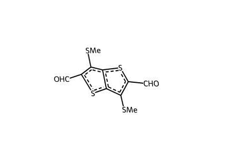 CSc1c(C=O)sc2c(SC)c(C=O)sc12